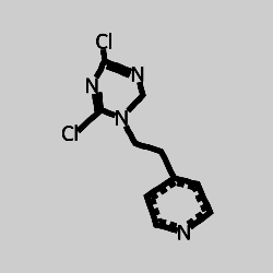 ClC1=NCN(CCc2ccncc2)C(Cl)=N1